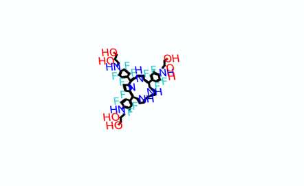 OC[C@@H](O)CNc1c(F)c(F)c(-c2c3nc(c(-c4c(F)c(F)c(NC[C@H](O)CO)c(F)c4F)c4ccc([nH]4)c4ccc([nH]4)c(-c4c(F)c(F)c(NC[C@H](O)CO)c(F)c4F)c4ccc2[nH]4)C=C3)c(F)c1F